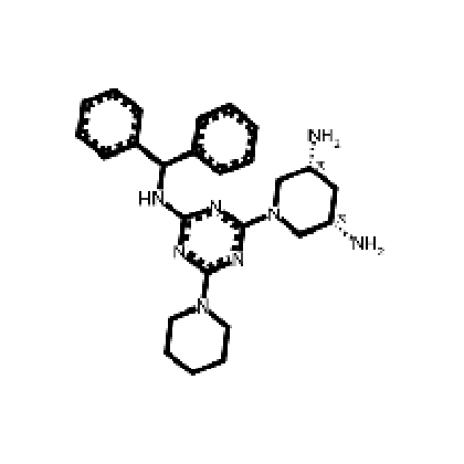 N[C@@H]1C[C@H](N)CN(c2nc(NC(c3ccccc3)c3ccccc3)nc(N3CCCCC3)n2)C1